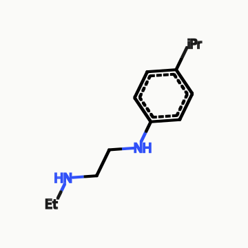 CCNCCNc1ccc(C(C)C)cc1